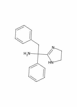 NC(Cc1ccccc1)(C1=NCCN1)c1ccccc1